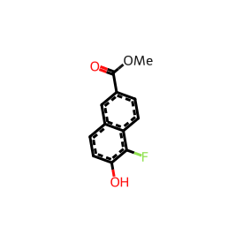 COC(=O)c1ccc2c(F)c(O)ccc2c1